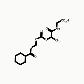 CC(SC(=O)OCOC(=O)C1CCCCC1)C(=O)NCC(=O)O